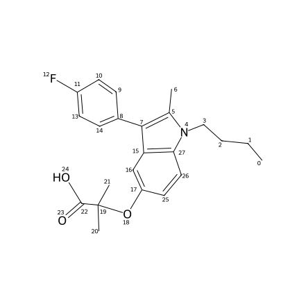 CCCCn1c(C)c(-c2ccc(F)cc2)c2cc(OC(C)(C)C(=O)O)ccc21